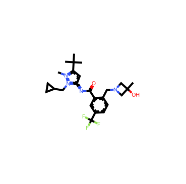 Cn1c(C(C)(C)C)c/c(=N\C(=O)c2cc(C(F)(F)F)ccc2CN2CC(C)(O)C2)n1CC1CC1